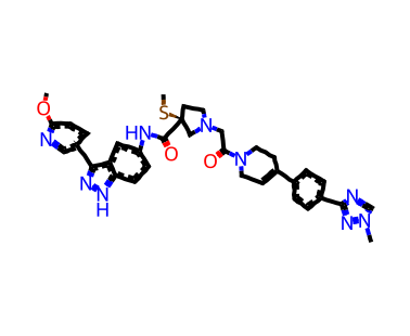 COc1ccc(-c2n[nH]c3ccc(NC(=O)[C@]4(SC)CCN(CC(=O)N5CC=C(c6ccc(-c7ncn(C)n7)cc6)CC5)C4)cc23)cn1